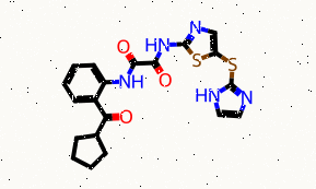 O=C(Nc1ncc(Sc2ncc[nH]2)s1)C(=O)Nc1ccccc1C(=O)C1CCCC1